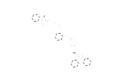 C[N+](C)(CCCNC(=O)c1ccccc1C=O)Cc1ccccc1CN1CCC(OC(=O)Nc2ccccc2-c2ccccc2)CC1